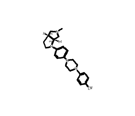 CN1C[C@H]2CCN(c3ccc(N4CCN(c5ccc(C#N)cc5)CC4)cc3)[C@H]2C1